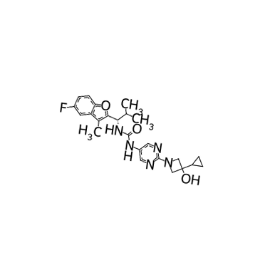 Cc1c([C@@H](NC(=O)Nc2cnc(N3CC(O)(C4CC4)C3)nc2)C(C)C)oc2ccc(F)cc12